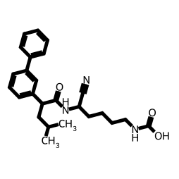 CC(C)CC(C(=O)NC(C#N)CCCCNC(=O)O)c1cccc(-c2ccccc2)c1